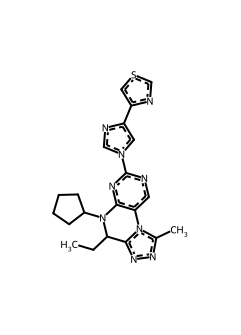 CCC1c2nnc(C)n2-c2cnc(-n3cnc(-c4cscn4)c3)nc2N1C1CCCC1